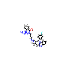 Nc1ccccc1C(=O)NCCCCN1CCC(Cc2nc3ccccc3n2Cc2ccc(F)cc2)CC1